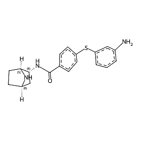 Nc1cccc(Sc2ccc(C(=O)N[C@@H]3C[C@H]4CC[C@@H]3N4)cc2)c1